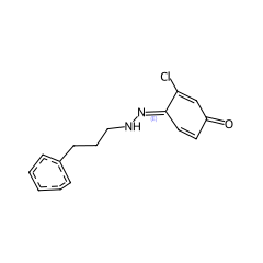 O=C1C=C/C(=N\NCCCc2ccccc2)C(Cl)=C1